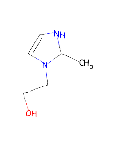 CC1NC=CN1CCO